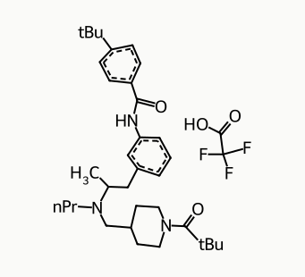 CCCN(CC1CCN(C(=O)C(C)(C)C)CC1)C(C)Cc1cccc(NC(=O)c2ccc(C(C)(C)C)cc2)c1.O=C(O)C(F)(F)F